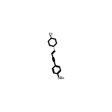 CCCCc1ccc(C#CC=C[C@H]2CC[C@H](CC)CC2)cc1